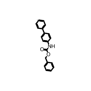 O=C(Nc1ccc(-c2cc[c]cc2)cc1)OCc1ccccc1